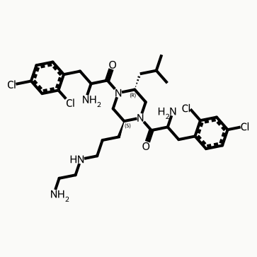 CC(C)C[C@@H]1CN(C(=O)C(N)Cc2ccc(Cl)cc2Cl)[C@@H](CCCNCCN)CN1C(=O)C(N)Cc1ccc(Cl)cc1Cl